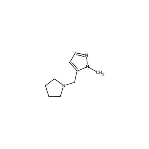 Cn1n[c]cc1CN1CCCC1